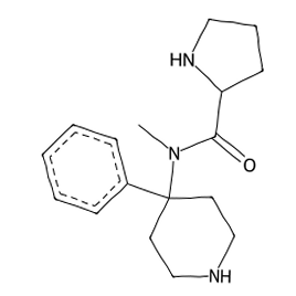 CN(C(=O)C1CCCN1)C1(c2ccccc2)CCNCC1